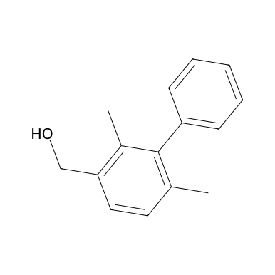 Cc1ccc(CO)c(C)c1-c1ccccc1